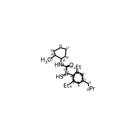 CCc1cc(CC(C)C)cc(CC)c1N(S)C(=O)NC1CCCCC1C